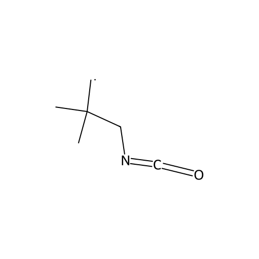 [CH2]C(C)(C)CN=C=O